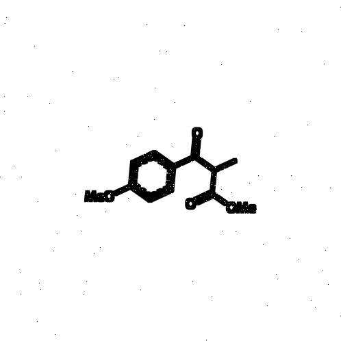 COC(=O)C(C)C(=O)c1ccc(OC)cc1